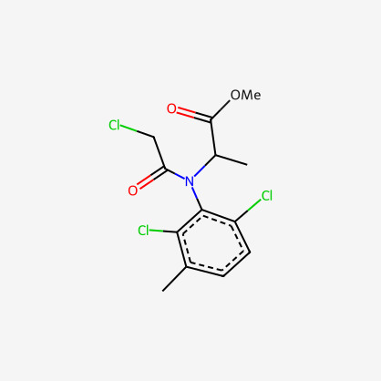 COC(=O)C(C)N(C(=O)CCl)c1c(Cl)ccc(C)c1Cl